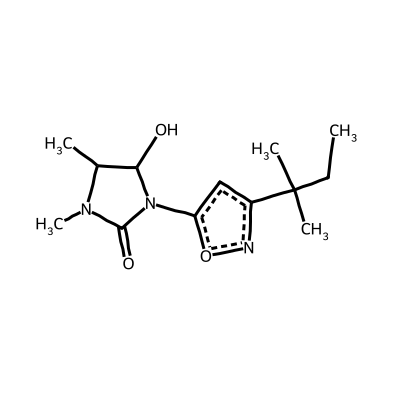 CCC(C)(C)c1cc(N2C(=O)N(C)C(C)C2O)on1